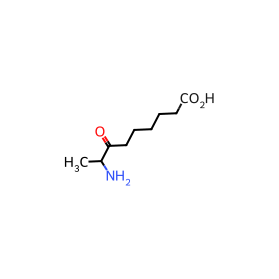 CC(N)C(=O)CCCCCC(=O)O